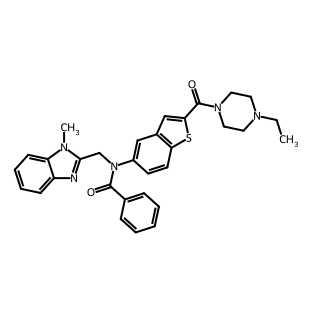 CCN1CCN(C(=O)c2cc3cc(N(Cc4nc5ccccc5n4C)C(=O)c4ccccc4)ccc3s2)CC1